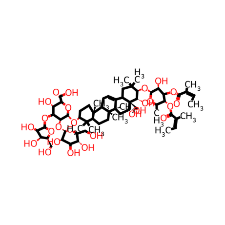 C/C=C(/C)C(=O)OC1[C@@H](OC(=O)/C(C)=C\C)C(C)O[C@@H](O[C@H]2[C@H](O)[C@@]3(CO)C(CC2(C)C)C2=CCC4[C@@]5(C)CC[C@H](O[C@@H]6OC(C(=O)O)[C@@H](O)C(OC7O[C@@H](CO)[C@@H](O)C7O)[C@@H]6O[C@@H]6OC(CO)[C@H](O)C(O)[C@@H]6O)C(C)(C)C5CC[C@@]4(C)[C@]2(C)C[C@H]3O)[C@H]1O